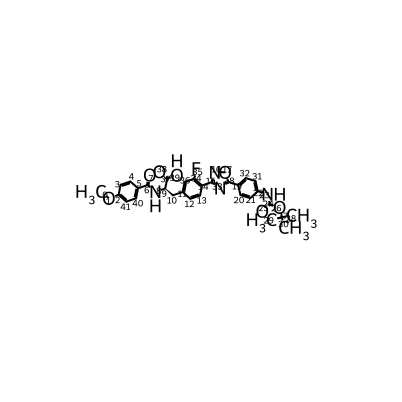 COc1ccc(C(=O)N[C@H](Cc2ccc(-c3noc(-c4ccc(NC(=O)OC(C)(C)C)cc4)n3)c(F)c2)C(=O)O)cc1